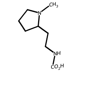 CN1CCCC1CCNC(=O)O